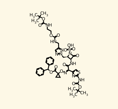 CC(C)(C)OC(=O)NCCOC(=O)NCc1cnn(C[C@@H]2[C@H](NC(=O)/C(=N\OC3(C(=O)OC(c4ccccc4)c4ccccc4)CC3)c3csc(NC(=O)OC(C)(C)C)n3)C(=O)N2S(=O)(=O)O)n1